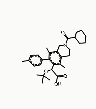 Cc1ccc(-c2c(C)c3c(c(C)c2[C@H](OC(C)(C)C)C(=O)O)CCN(C(=O)C2CCCCC2)C3)cc1